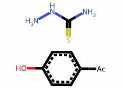 CC(=O)c1ccc(O)cc1.NNC(N)=S